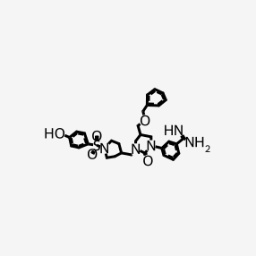 N=C(N)c1cccc(N2CC(COCc3ccccc3)CN(CC3CCN(S(=O)(=O)c4ccc(O)cc4)CC3)C2=O)c1